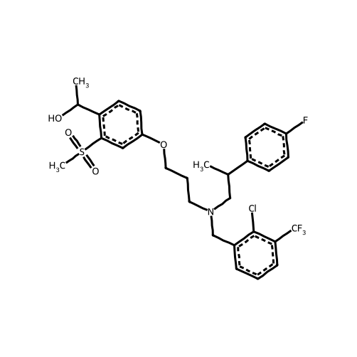 CC(O)c1ccc(OCCCN(Cc2cccc(C(F)(F)F)c2Cl)CC(C)c2ccc(F)cc2)cc1S(C)(=O)=O